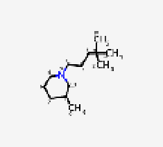 CC1CCCN(CCCC(C)(C)C)C1